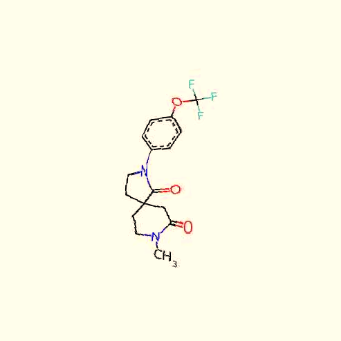 CN1CCC2(CCN(c3ccc(OC(F)(F)F)cc3)C2=O)CC1=O